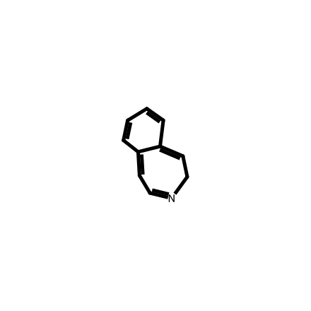 C1=NCC=c2ccccc2=C1